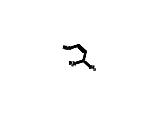 CN/C=C\N(C)N